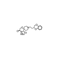 CCCCN1C(=O)COC2(CCN(CCC3COc4ccccc4O3)CC2)C1CC